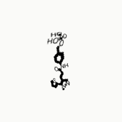 Cn1ncc(C=CC(=O)Nc2ccc(COP(=O)(O)O)cc2)c1-c1cccs1